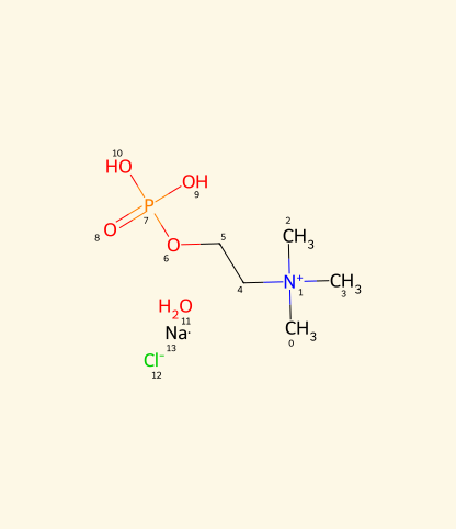 C[N+](C)(C)CCOP(=O)(O)O.O.[Cl-].[Na]